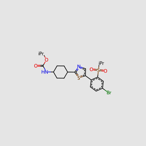 CC(C)OC(=O)NC1CCC(c2ncc(-c3ccc(Br)cc3S(=O)(=O)C(C)C)s2)CC1